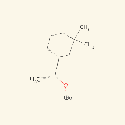 C[C@@H](OC(C)(C)C)[C@@H]1CCCC(C)(C)C1